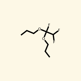 CCCOC(F)(OCCC)C(F)F